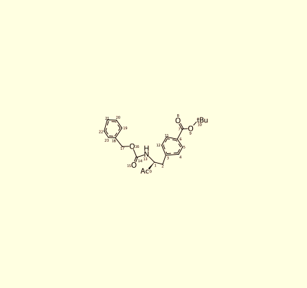 CC(=O)[C@H](Cc1ccc(C(=O)OC(C)(C)C)cc1)NC(=O)OCc1ccccc1